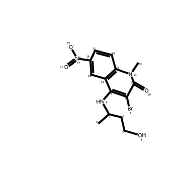 CC(CCO)Nc1c(Br)c(=O)n(C)c2ccc([N+](=O)[O-])cc12